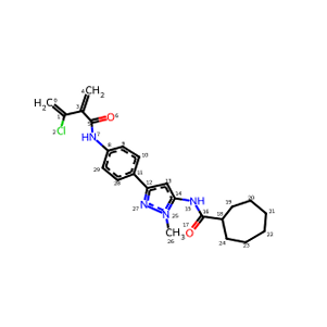 C=C(Cl)C(=C)C(=O)Nc1ccc(-c2cc(NC(=O)C3CCCCCC3)n(C)n2)cc1